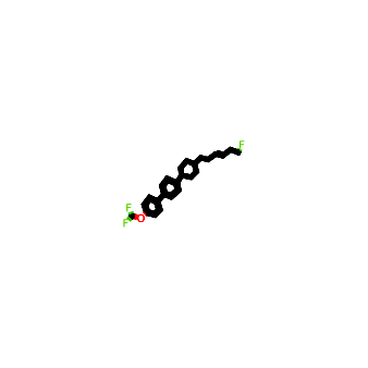 FCC/C=C/CCC1CCC(c2ccc(-c3ccc(OC(F)F)cc3)cc2)CC1